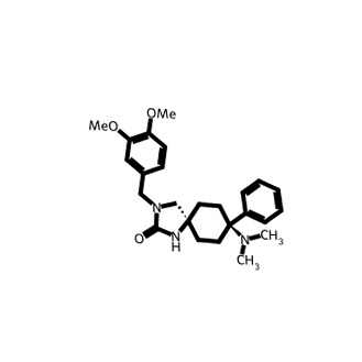 COc1ccc(CN2C[C@]3(CC[C@](c4ccccc4)(N(C)C)CC3)NC2=O)cc1OC